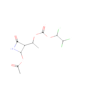 CC(=O)OC1NC(=O)C1C(C)OC(=O)OC(Cl)C(Cl)Cl